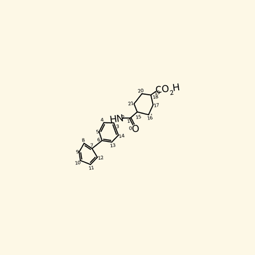 O=C(Nc1ccc(-c2ccccc2)cc1)C1[CH]CC(C(=O)O)CC1